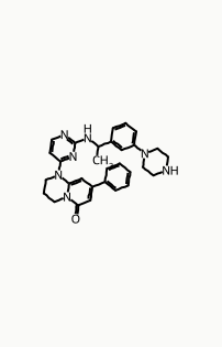 CC(Nc1nccc(N2CCCn3c2cc(-c2ccccc2)cc3=O)n1)c1cccc(N2CCNCC2)c1